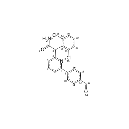 NC(=O)C(c1cccc(-c2ccc(C=O)cc2)n1)c1c(Cl)cccc1Cl